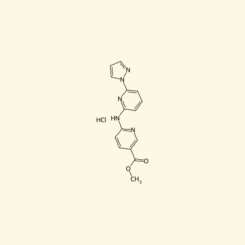 COC(=O)c1ccc(Nc2cccc(-n3cccn3)n2)nc1.Cl